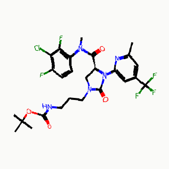 Cc1cc(C(F)(F)F)cc(N2C(=O)N(CCCNC(=O)OC(C)(C)C)C[C@H]2C(=O)N(C)c2ccc(F)c(Cl)c2F)n1